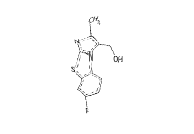 Cc1nc2sc3cc(F)ccc3n2c1CO